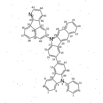 c1ccc(-n2c3ccccc3c3cc(-c4ccc5c(c4)c4cc6ccccc6cc4n5-c4cc5c6c(cccc6c4)-c4ncccc4-5)ccc32)cc1